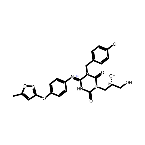 Cc1cc(Oc2ccc(/N=c3\[nH]c(=O)n(C[C@H](O)CO)c(=O)n3Cc3ccc(Cl)cc3)cc2)no1